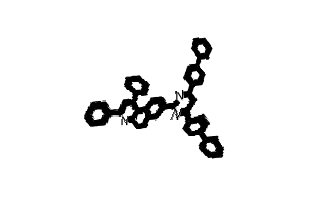 c1ccc(-c2ccc(-c3cc(-c4ccc(-c5ccccc5)cc4)nc(-c4ccc5c(ccc6nc(-c7ccccc7)cc(-c7ccccc7)c65)c4)n3)cc2)cc1